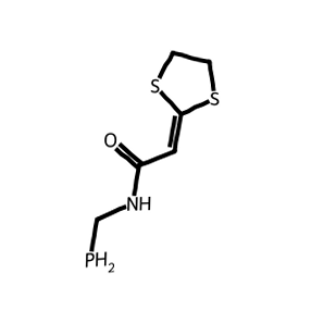 O=C(C=C1SCCS1)NCP